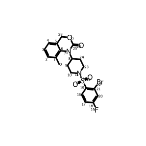 Cc1cccc2c1N(C1CCN(S(=O)(=O)c3ccc(F)cc3Br)CC1)C(=O)OC2